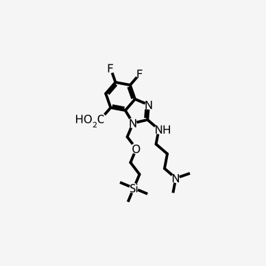 CN(C)CCCNc1nc2c(F)c(F)cc(C(=O)O)c2n1COCC[Si](C)(C)C